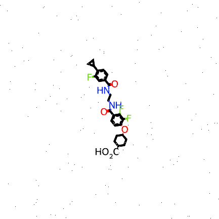 O=C(NCCNC(=O)c1ccc(O[C@H]2CC[C@@H](C(=O)O)CC2)c(F)c1F)c1ccc(C2CC2)c(F)c1